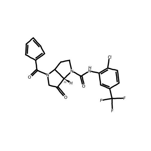 O=C1CN(C(=O)c2ccccc2)C2CCN(C(=O)Nc3cc(C(F)(F)F)ccc3Cl)[C@H]12